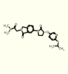 CC(C)Sc1ccc(O[C@@H]2CCN(c3ccc4c(c3)C(=O)N(CC(=O)N(C)C)C4)C2=O)cn1